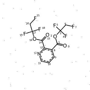 O=C(OC(F)(F)CF)c1cccnc1C(=O)OC(F)(F)CF